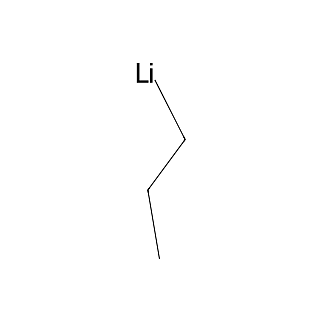 [Li][CH2]CC